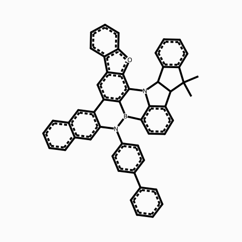 CC1(C)c2ccccc2C2C1c1cccc3c1N2c1c2c(cc4c1oc1ccccc14)-c1cc4ccccc4cc1N(c1ccc(-c4ccccc4)cc1)B32